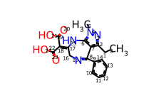 CCc1nn(C)c2c1C(c1ccccc1)=NCC(=C(C(=O)O)C(=O)O)N2